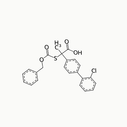 CC(SC(=O)OCc1ccccc1)(C(=O)O)c1ccc(-c2ccccc2Cl)cc1